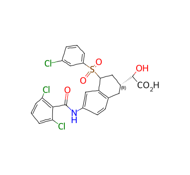 O=C(Nc1ccc2c(c1)C(S(=O)(=O)c1cccc(Cl)c1)C[C@H](C(O)C(=O)O)C2)c1c(Cl)cccc1Cl